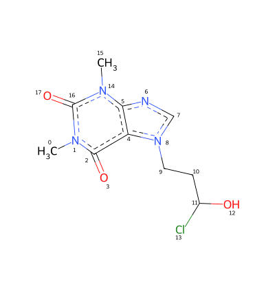 Cn1c(=O)c2c(ncn2CCC(O)Cl)n(C)c1=O